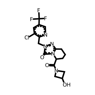 O=C(C1CCCc2nn(Cc3ncc(C(F)(F)F)cc3Cl)c(=O)n21)N1CC(O)C1